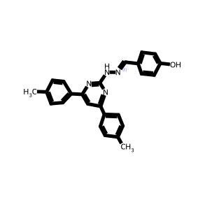 Cc1ccc(-c2cc(-c3ccc(C)cc3)nc(N/N=C/c3ccc(O)cc3)n2)cc1